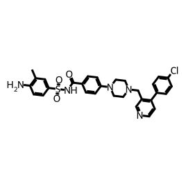 Cc1cc(S(=O)(=O)NC(=O)c2ccc(N3CCN(Cc4cnccc4-c4ccc(Cl)cc4)CC3)cc2)ccc1N